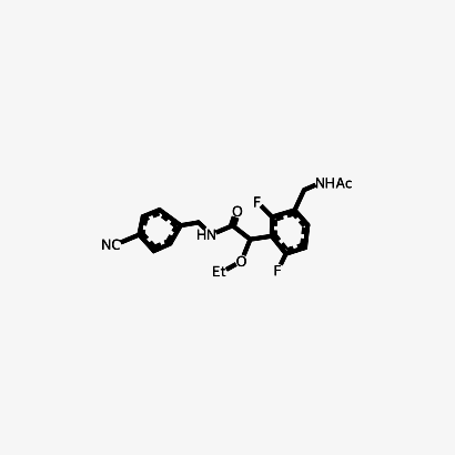 CCOC(C(=O)NCc1ccc(C#N)cc1)c1c(F)ccc(CNC(C)=O)c1F